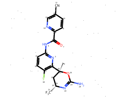 C[C@@]1(c2nc(NC(=O)c3ccc(C#N)cn3)ccc2F)C[C@@H](C(F)(F)F)N=C(N)O1